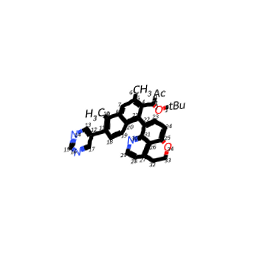 CC(=O)C(OC(C)(C)C)c1c(C)cc2c(C)c(-c3cncnc3)ccc2c1-c1ccc2c3c(ccnc13)CCO2